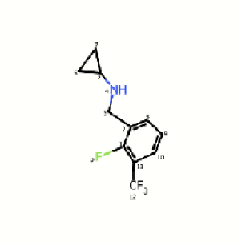 Fc1c(CNC2CC2)cccc1C(F)(F)F